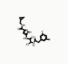 CCC(NC(=O)Cc1cc(F)cc(F)c1)C(=O)Nc1cc(C(=O)NCC2CC2)n[nH]1